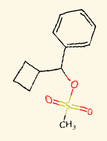 CS(=O)(=O)OC(c1ccccc1)C1CCC1